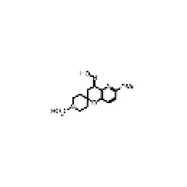 COc1ccc2c(n1)C(=NO)CC1(CCN(C(=O)O)CC1)O2